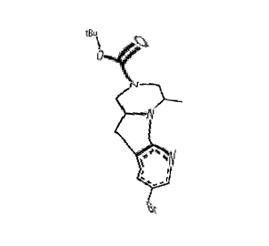 CC1CN(C(=O)OC(C)(C)C)CC2Cc3cc(Br)cnc3N12